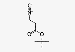 [C-]#[N+]CCC(=O)OC(C)(C)C